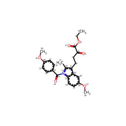 CCOC(=O)C(=O)CCc1c(C)n(C(=O)c2ccc(OC)cc2)c2ccc(OC)cc12